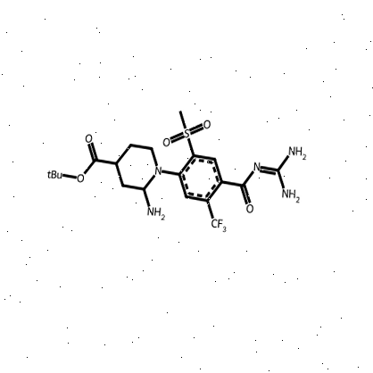 CC(C)(C)OC(=O)C1CCN(c2cc(C(F)(F)F)c(C(=O)N=C(N)N)cc2S(C)(=O)=O)C(N)C1